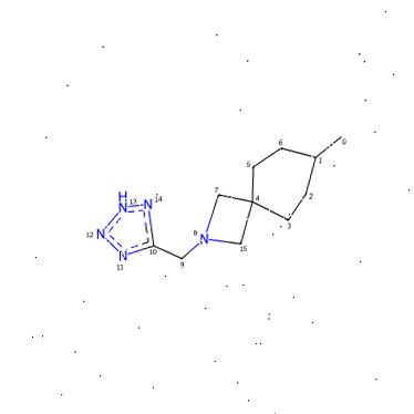 CC1CCC2(CC1)CN(Cc1nn[nH]n1)C2